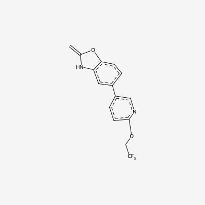 C=C1Nc2cc(-c3ccc(OCC(F)(F)F)nc3)ccc2O1